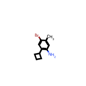 Cc1cc(N)c(C2CCC2)cc1Br